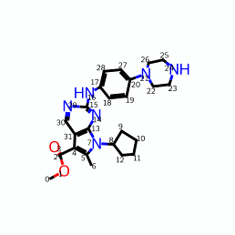 COC(=O)c1c(C)n(C2CCCC2)c2nc(Nc3ccc(N4CCNCC4)cc3)ncc12